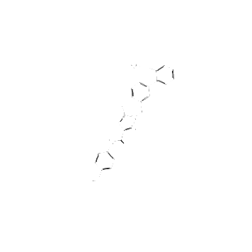 COc1ccccc1-c1cccc(Cn2nc(C(=O)Nc3ccc(OC(F)(F)F)cc3)cc2C)c1